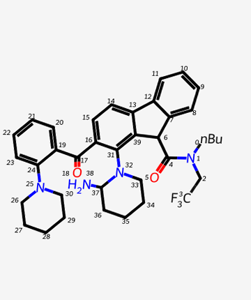 CCCCN(CC(F)(F)F)C(=O)C1c2ccccc2-c2ccc(C(=O)c3ccccc3N3CCCCC3)c(N3CCCCC3N)c21